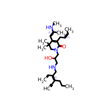 C#C/C(CCC)=C(\C=C)CNCC(O)CN1CC(C)(C)C(/C=C(\C)NC)=C(C/C=C\C)C1=O